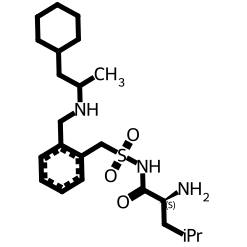 CC(C)C[C@H](N)C(=O)NS(=O)(=O)Cc1ccccc1CNC(C)CC1CCCCC1